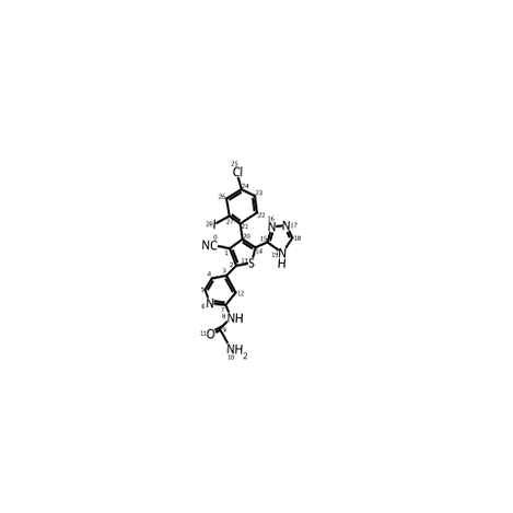 N#Cc1c(-c2ccnc(NC(N)=O)c2)sc(-c2nnc[nH]2)c1-c1ccc(Cl)cc1I